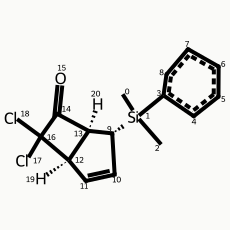 C[Si](C)(c1ccccc1)[C@@H]1C=C[C@@H]2[C@H]1C(=O)C2(Cl)Cl